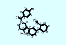 Cc1ccc(C(=O)N2CCc3[nH]c4ccc(-c5ccccc5C#N)cc4c3C2)cc1